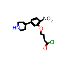 O=C(Cl)CCCOc1cc(C2=CCNCC2)ccc1[N+](=O)[O-]